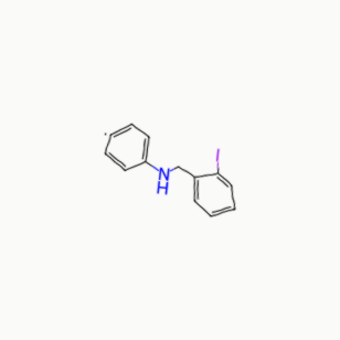 Ic1ccccc1CNc1cc[c]cc1